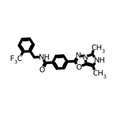 CC1=C2OC(c3ccc(C(=O)NCc4ccccc4C(F)(F)F)cc3)=NN2C(C)N1